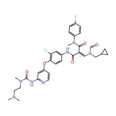 CN(C)CCN(C)C(=O)Nc1cc(Oc2ccc(NC(=O)/C(=C/N(C=O)CC3CC3)C(=O)N(C)c3ccc(F)cc3)cc2F)ccn1